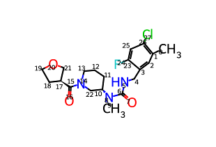 Cc1cc(CNC(=O)N(C)[C@@H]2CCCN(C(=O)[C@H]3CCOC3)C2)c(F)cc1Cl